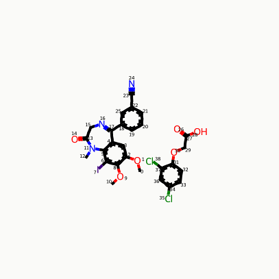 COc1cc2c(c(I)c1OC)N(C)C(=O)CN=C2c1cccc(C#N)c1.O=C(O)COc1ccc(Cl)cc1Cl